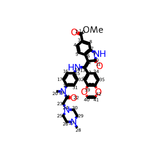 COC(=O)c1ccc2c(c1)NC(=O)C2=C(Nc1ccc(N(C)C(=O)CN2CCN(C)CC2)cc1)c1ccc2c(c1)OC=CO2